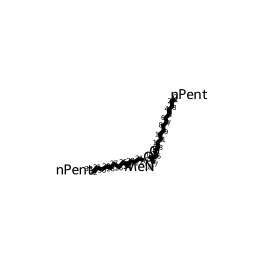 CCCCCC=CCC=CCCCCCCCCOCC(CNC)OCCCCCCCCC=CCC=CCCCCC